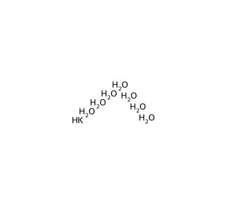 O.O.O.O.O.O.O.[KH]